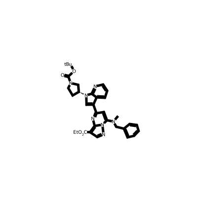 CCOC(=O)c1cnn2c(N(C)Cc3ccccc3)cc(-c3cn([C@@H]4CCN(C(=O)OC(C)(C)C)C4)c4ncccc34)nc12